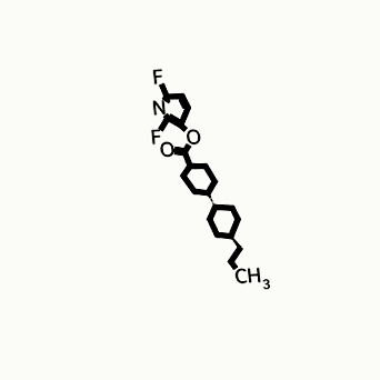 CCC[C@H]1CC[C@H](C2CCC(C(=O)Oc3ccc(F)nc3F)CC2)CC1